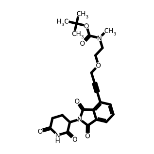 CN(CCOCC#Cc1cccc2c1C(=O)N(C1CCC(=O)NC1=O)C2=O)C(=O)OC(C)(C)C